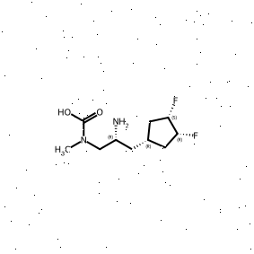 CN(C[C@H](N)C[C@H]1C[C@@H](F)[C@@H](F)C1)C(=O)O